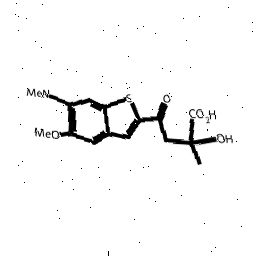 CNc1cc2sc(C(=O)CC(C)(O)C(=O)O)cc2cc1OC